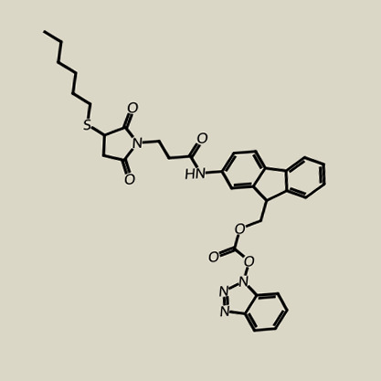 CCCCCCSC1CC(=O)N(CCC(=O)Nc2ccc3c(c2)C(COC(=O)On2nnc4ccccc42)c2ccccc2-3)C1=O